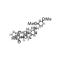 COc1ccc(CNc2cc(N/C(C)=C/C(C)=C3/C(=O)NC4(CCCC4)N3C=O)c(C(=O)O)cn2)c(OC)c1